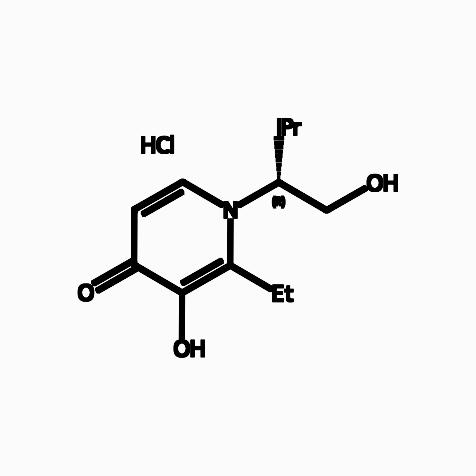 CCc1c(O)c(=O)ccn1[C@@H](CO)C(C)C.Cl